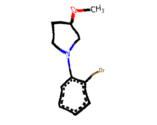 COC1CCN(c2ccccc2Br)C1